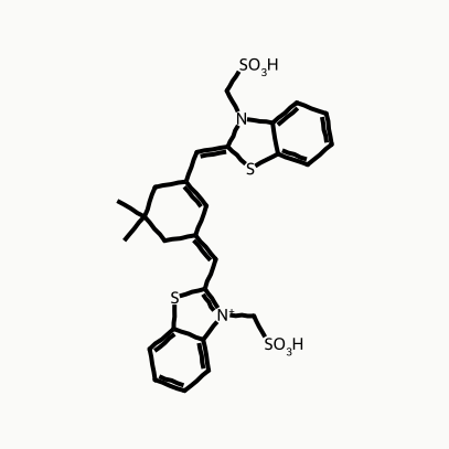 CC1(C)CC(/C=C2\Sc3ccccc3N2CS(=O)(=O)O)=CC(=C/c2sc3ccccc3[n+]2CS(=O)(=O)O)/C1